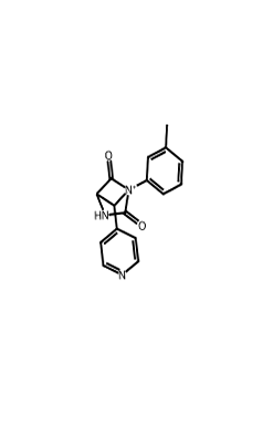 Cc1cccc([N+]23C(=O)NC(C2=O)C3c2ccncc2)c1